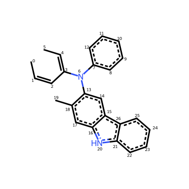 C/C=C\C(=C/C)N(c1ccccc1)c1cc2c(cc1C)[nH]c1ccccc12